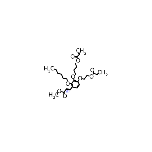 C=CC(=O)OCCCCOc1c(OCCOC(=O)C=C)ccc(/C=C/C(=O)OC)c1OCCCCCC